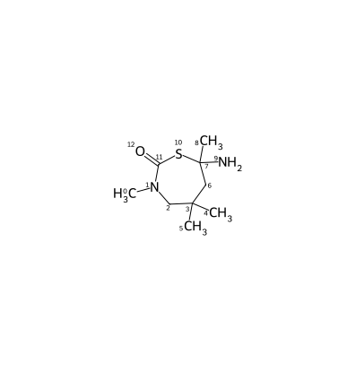 CN1CC(C)(C)CC(C)(N)SC1=O